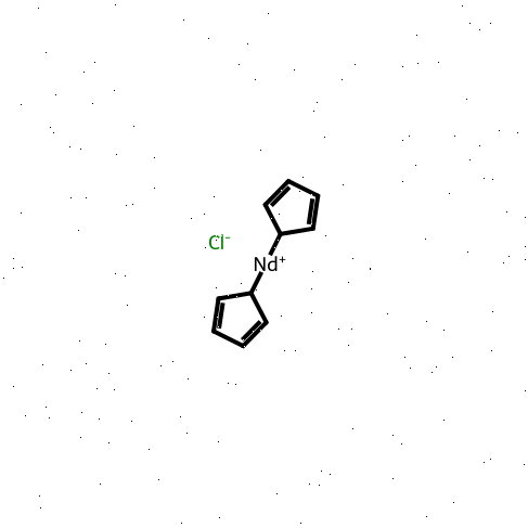 C1=C[CH]([Nd+][CH]2C=CC=C2)C=C1.[Cl-]